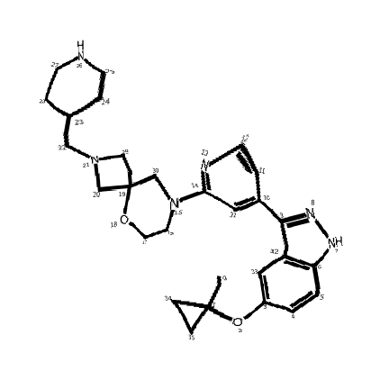 CC1(Oc2ccc3[nH]nc(-c4ccnc(N5CCOC6(CN(CC7CCNCC7)C6)C5)c4)c3c2)CC1